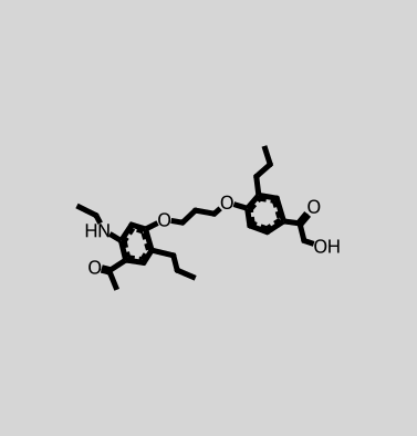 CCCc1cc(C(=O)CO)ccc1OCCCOc1cc(NCC)c(C(C)=O)cc1CCC